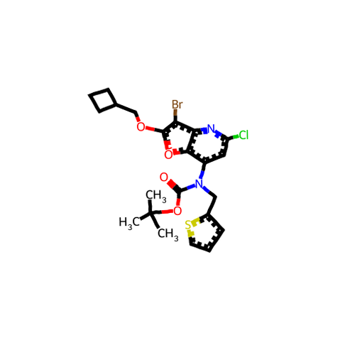 CC(C)(C)OC(=O)N(Cc1cccs1)c1cc(Cl)nc2c(Br)c(OCC3CCC3)oc12